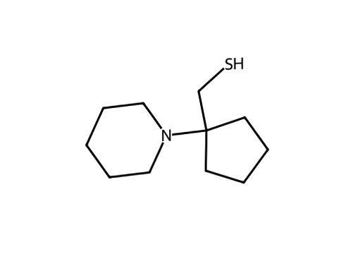 SCC1(N2CCCCC2)CCCC1